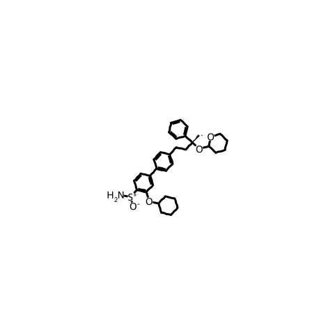 [CH2][C@](CCc1ccc(-c2ccc([S+](N)[O-])c(OC3CCCCC3)c2)cc1)(OC1CCCCO1)c1ccccc1